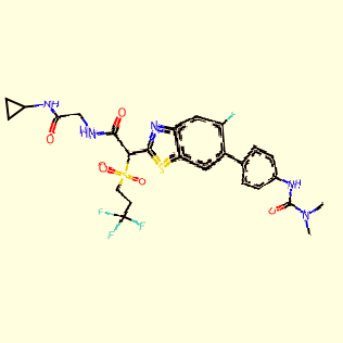 CN(C)C(=O)Nc1ccc(-c2cc3sc(C(C(=O)NCC(=O)NC4CC4)S(=O)(=O)CCC(F)(F)F)nc3cc2F)cc1